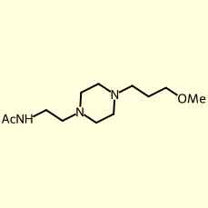 COCCCN1CCN(CCNC(C)=O)CC1